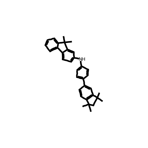 CC1(C)CC(C)(C)c2cc(-c3ccc(Nc4ccc5c(c4)C(C)(C)c4ccccc4-5)cc3)ccc21